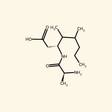 CCCC(C)C(C)[C@@H](CC(=O)O)NC(=O)[C@H](C)N